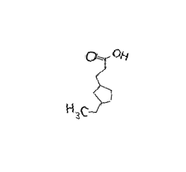 CCC1CCC(CCC(=O)O)C1